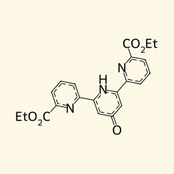 CCOC(=O)c1cccc(-c2cc(=O)cc(-c3cccc(C(=O)OCC)n3)[nH]2)n1